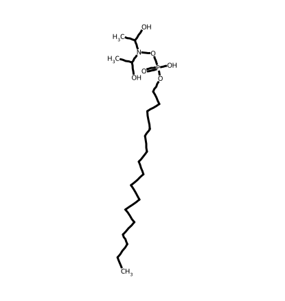 CCCCCCCCCCCCCCCCOP(=O)(O)ON(C(C)O)C(C)O